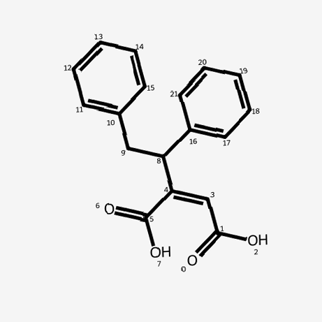 O=C(O)C=C(C(=O)O)C(Cc1ccccc1)c1ccccc1